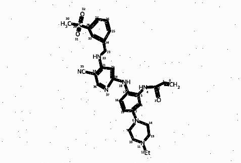 C=CC(=O)Nc1cc(N2CCN(CC)CC2)ccc1Nc1cc(NCc2cccc(S(C)(=O)=O)c2)c(C#N)cn1